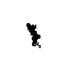 CCOC(=O)CS(=O)(=O)Cc1ccc(CN2CC(=O)NS2(=O)=O)cc1